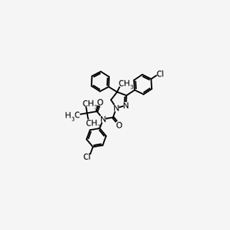 CC(C)(C)C(=O)N(C(=O)N1CC(C)(c2ccccc2)C(c2ccc(Cl)cc2)=N1)c1ccc(Cl)cc1